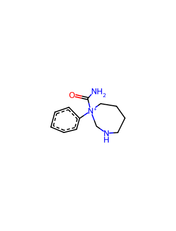 NC(=O)[N+]1(c2ccccc2)CCCCNC1